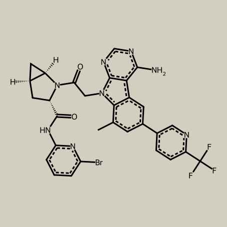 Cc1cc(-c2ccc(C(F)(F)F)nc2)cc2c3c(N)ncnc3n(CC(=O)N3[C@@H]4C[C@@H]4C[C@H]3C(=O)Nc3cccc(Br)n3)c12